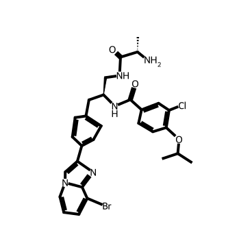 CC(C)Oc1ccc(C(=O)N[C@H](CNC(=O)[C@H](C)N)Cc2ccc(-c3cn4cccc(Br)c4n3)cc2)cc1Cl